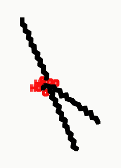 CCCCCCCCC=CCCCCCCCC(=O)OC(C(=O)CCCCCCCC=CCCCCCCCC)(C(=O)CCCCCCCCCCCCCCC)C(O)CO